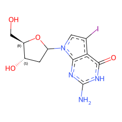 Nc1nc2c(c(I)cn2C2C[C@H](O)[C@@H](CO)O2)c(=O)[nH]1